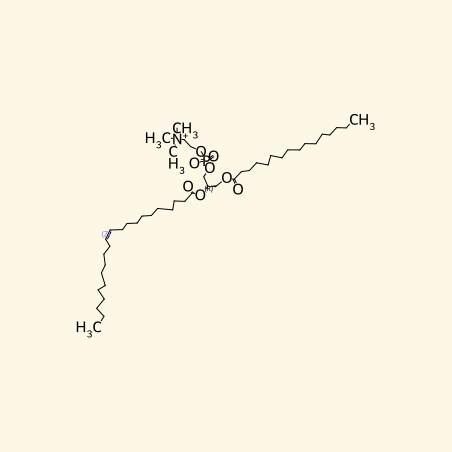 CCCCCCCCCC/C=C\CCCCCCCCCC(=O)O[C@H](COC(=O)CCCCCCCCCCCCCCC)COP(=O)([O-])OCC[N+](C)(C)C